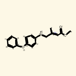 COC(=O)/C=C(\C)CNc1ccc(Oc2ccccc2)cc1